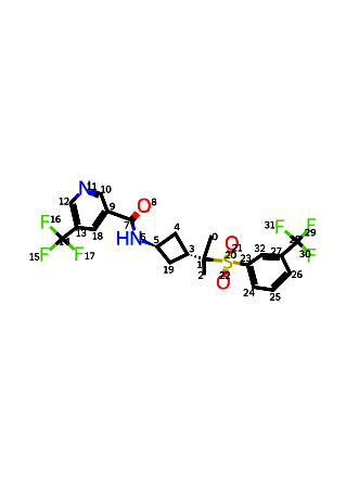 CC(C)([C@H]1C[C@H](NC(=O)c2cncc(C(F)(F)F)c2)C1)S(=O)(=O)c1cccc(C(F)(F)F)c1